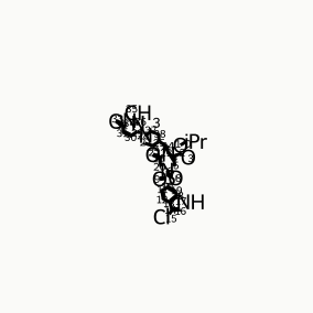 CC(C)OC(=O)C1CN(S(=O)(=O)c2ccc3c(Cl)c[nH]c3c2)CC(=O)N1CC1CCN(c2ccc(=O)n(C)n2)CC1